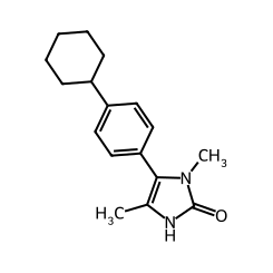 Cc1[nH]c(=O)n(C)c1-c1ccc(C2CCCCC2)cc1